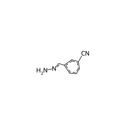 N#Cc1cccc(/C=N/N)c1